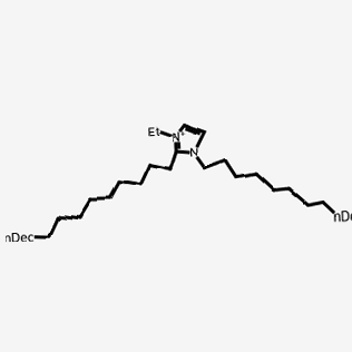 CCCCCCCCCCCCCCCCCCCc1n(CCCCCCCCCCCCCCCCCC)cc[n+]1CC